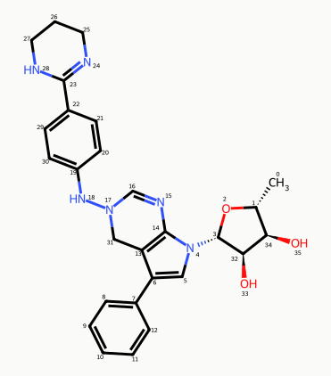 C[C@H]1O[C@@H](n2cc(-c3ccccc3)c3c2N=CN(Nc2ccc(C4=NCCCN4)cc2)C3)[C@H](O)[C@@H]1O